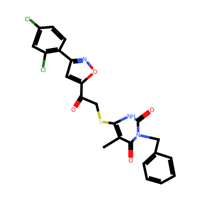 Cc1c(SCC(=O)c2cc(-c3ccc(Cl)cc3Cl)no2)[nH]c(=O)n(Cc2ccccc2)c1=O